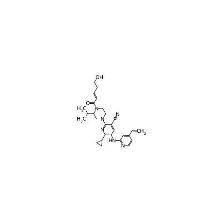 C=Cc1ccnc(Nc2cc(C#N)c(N3CCN(C(=O)/C=C/CCO)C(C(C)C)C3)nc2C2CC2)c1